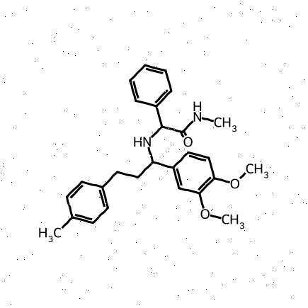 CNC(=O)C(NC(CCc1ccc(C)cc1)c1ccc(OC)c(OC)c1)c1ccccc1